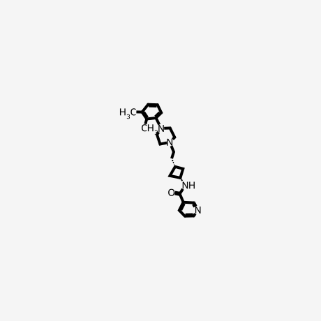 Cc1cccc(N2CCN(CC[C@H]3C[C@@H](NC(=O)c4cccnc4)C3)CC2)c1C